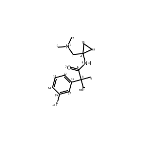 CN(C)CC1(NC(=O)C(C)(F)c2cccc(F)c2)CC1